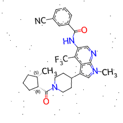 C[C@H]1CCC[C@H]1C(=O)N1CCC(c2cn(C)c3ncc(NC(=O)c4cccc(C#N)c4)c(C(F)(F)F)c23)CC1